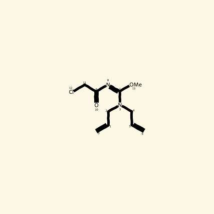 C=CCN(CC=C)C(=NC(=O)CCl)OC